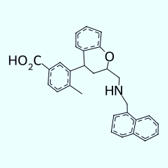 Cc1ccc(C(=O)O)cc1C1CC(CNCc2cccc3ccccc23)Oc2ccccc21